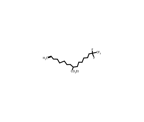 C=CCCCCCCC(CCCCCCC(F)(F)C(F)(F)F)C(=O)OCC